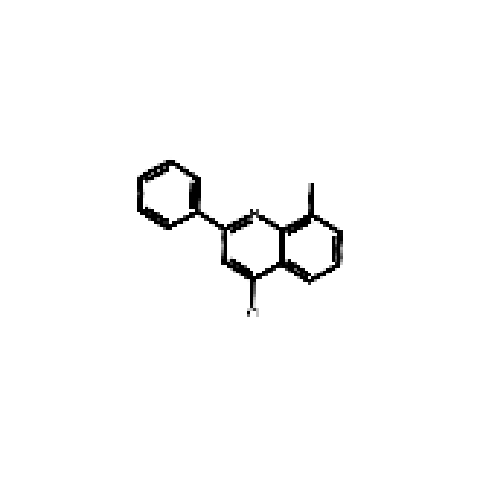 Cc1cccc2c(Cl)cc(-c3ccccc3)nc12